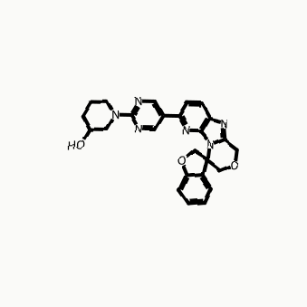 OC1CCCN(c2ncc(-c3ccc4nc5n(c4n3)C3(COC5)COc4ccccc43)cn2)C1